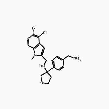 Cn1c(CNC2(c3ccc(CN)cc3)CCOC2)cc2c(Cl)c(Cl)ccc21